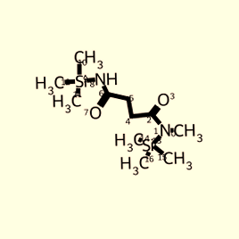 CN(C(=O)CCC(=O)N[Si](C)(C)C)[Si](C)(C)C